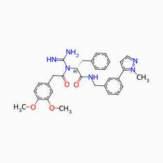 COc1ccc(CC(=O)N(C(=N)N)[C@H](Cc2ccccc2)C(=O)NCc2cccc(-c3ccnn3C)c2)cc1OC